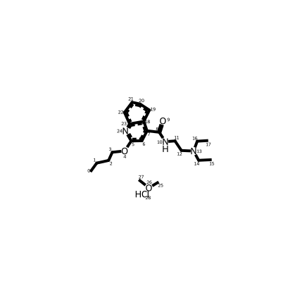 CCCCOc1cc(C(=O)NCCN(CC)CC)c2ccccc2n1.COC.Cl